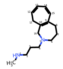 CNCCCN1CCCC2=C(CC=CC=C2)C1